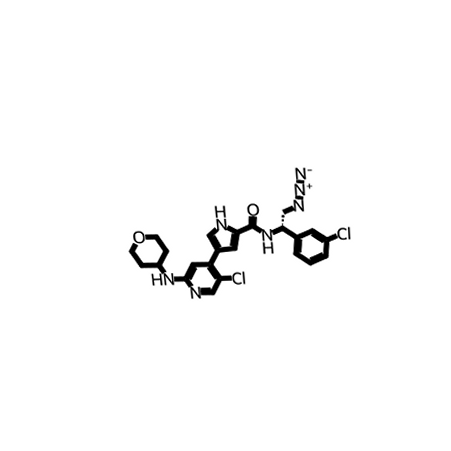 [N-]=[N+]=NC[C@@H](NC(=O)c1cc(-c2cc(NC3CCOCC3)ncc2Cl)c[nH]1)c1cccc(Cl)c1